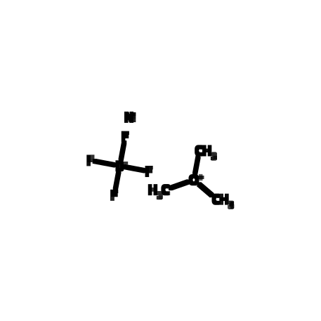 C[O+](C)C.F[B-](F)(F)F.[N]